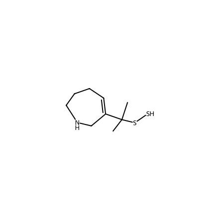 CC(C)(SS)C1=CCCCNC1